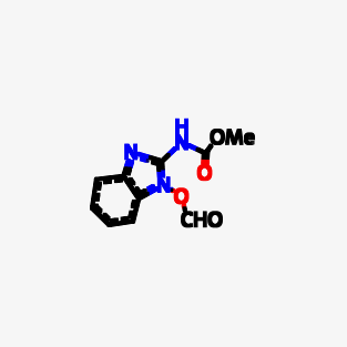 COC(=O)Nc1nc2ccccc2n1OC=O